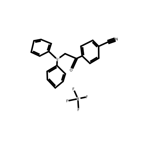 F[B-](F)(F)F.N#Cc1ccc(C(=O)C[S+](c2ccccc2)c2ccccc2)cc1